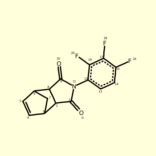 O=C1C2C3C=CC(C3)C2C(=O)N1c1ccc(F)c(F)c1F